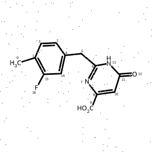 Cc1ccc(Cc2nc(C(=O)O)cc(=O)[nH]2)cc1F